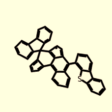 c1ccc2c(c1)-c1ccccc1C21c2ccccc2-c2c3ccccc3c(-c3cccc4c3sc3ccccc34)c3cccc1c23